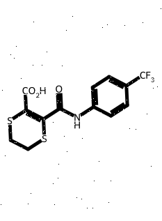 O=C(O)C1=C(C(=O)Nc2ccc(C(F)(F)F)cc2)SCCS1